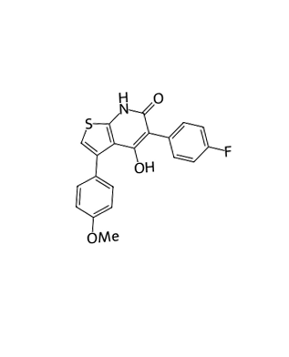 COc1ccc(-c2csc3[nH]c(=O)c(-c4ccc(F)cc4)c(O)c23)cc1